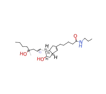 CCCC[C@](C)(O)C/C=C/[C@@H]1[C@H]2CC(CCCCC(=O)NCCC)=C[C@H]2C[C@H]1O